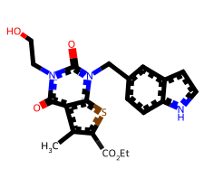 CCOC(=O)c1sc2c(c1C)c(=O)n(CCO)c(=O)n2Cc1ccc2[nH]ccc2c1